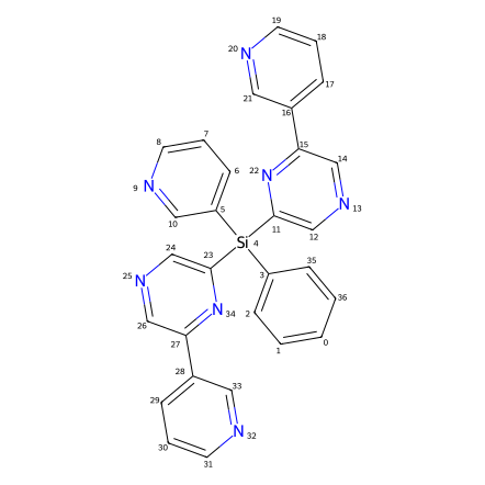 c1ccc([Si](c2cccnc2)(c2cncc(-c3cccnc3)n2)c2cncc(-c3cccnc3)n2)cc1